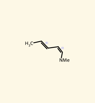 C/C=C/C=C\NC